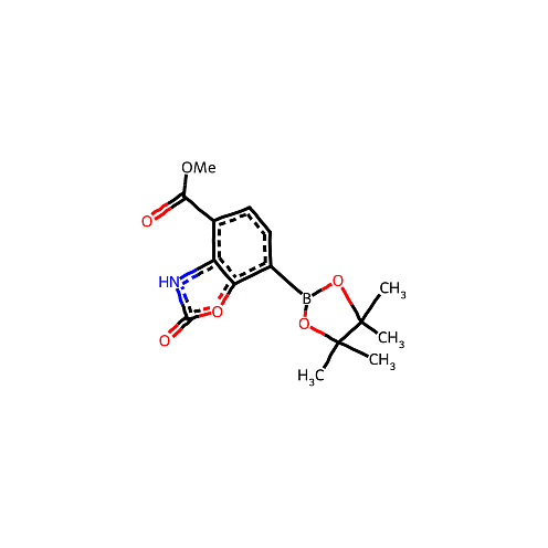 COC(=O)c1ccc(B2OC(C)(C)C(C)(C)O2)c2oc(=O)[nH]c12